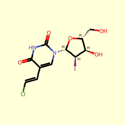 O=c1[nH]c(=O)n([C@@H]2O[C@H](CO)[C@@H](O)[C@H]2I)cc1C=CCl